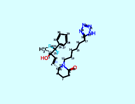 C[C@@](O)(/C=C/[C@H]1CCCC(=O)N1CCCCCCc1nnn[nH]1)C(F)(F)c1ccccc1